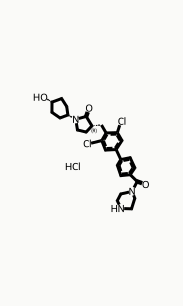 Cl.O=C(c1ccc(-c2cc(Cl)c(C[C@@H]3CCN([C@H]4CC[C@@H](O)CC4)C3=O)c(Cl)c2)cc1)N1CCNCC1